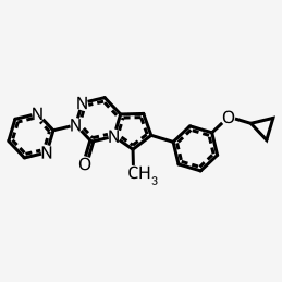 Cc1c(-c2cccc(OC3CC3)c2)cc2cnn(-c3ncccn3)c(=O)n12